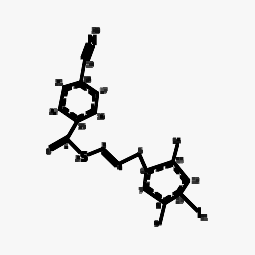 C=C(S/C=C/Cc1cc(C)c(I)cc1C)c1ccc(C#N)cc1